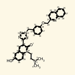 CN(C)CCn1c(=O)c(-c2nnn(Cc3cccc(OCc4ccc5ccccc5n4)c3)n2)cc2cc(O)ccc21